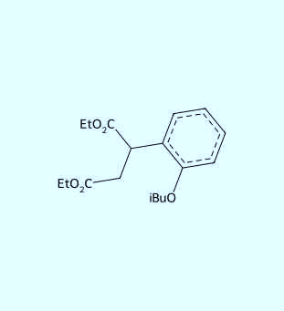 CCOC(=O)CC(C(=O)OCC)c1ccccc1OCC(C)C